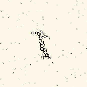 CCC1CN(C2=NC(=O)C(=Cc3ccc4c(cnn4Cc4ccc(C(F)(F)F)cc4C(F)(F)F)c3)S2)CCN1C(=O)OC(C)(C)C